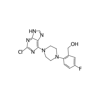 OCc1cc(F)ccc1N1CCN(c2nc(Cl)nc3[nH]cnc23)CC1